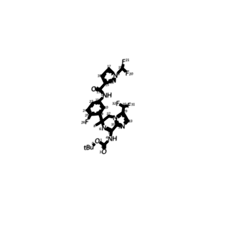 CC(C)(C)OC(=O)NC1=NC(C)(c2cc(NC(=O)c3ccn(C(F)F)n3)ccc2F)Cn2c(C(F)F)cnc21